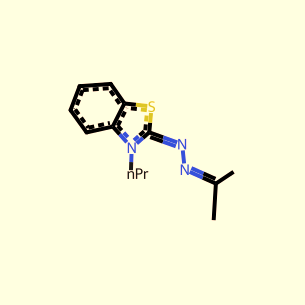 CCCn1c(=NN=C(C)C)sc2ccccc21